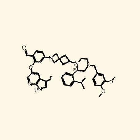 COc1ccc(CN2CCN(C3CC4(C3)CN(c3ccc(C=O)c(Oc5cnc6[nH]cc(F)c6c5)c3)C4)[C@H](c3ccccc3C(C)C)C2)cc1OC